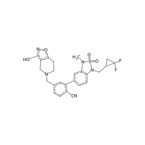 CN1c2cc(-c3cc(CN4CCc5onc(O)c5C4)ccc3C#N)ccc2N(CC2CC2(F)F)S1(=O)=O